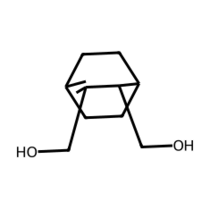 OCC1=C2CCC(CC2)C1CO